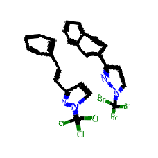 BrC(Br)(Br)n1ccc(-c2ccc3ccccc3c2)n1.ClC(Cl)(Cl)n1ccc(C=Cc2ccccc2)n1